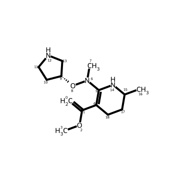 C=C(OC)C1=C(N(C)O[C@@H]2CCNC2)NC(C)CC1